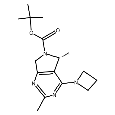 Cc1nc2c(c(N3CCC3)n1)[C@@H](C)N(C(=O)OC(C)(C)C)C2